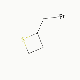 CC(C)CC1CCS1